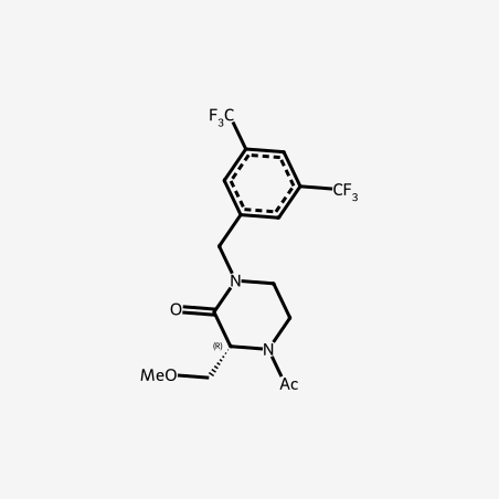 COC[C@@H]1C(=O)N(Cc2cc(C(F)(F)F)cc(C(F)(F)F)c2)CCN1C(C)=O